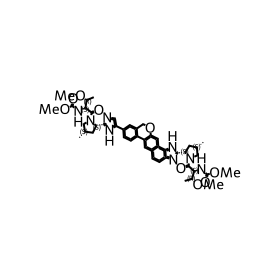 COC(=O)N[C@H](C(=O)N1C[C@@H](C)C[C@H]1c1ncc(-c2ccc3c(c2)COc2cc4c(ccc5nc([C@@H]6C[C@H](C)CN6C(=O)[C@@H](NC(=O)OC)[C@@H](C)OC)[nH]c54)cc2-3)[nH]1)[C@@H](C)OC